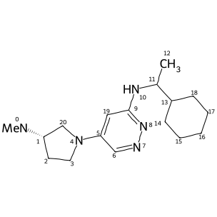 CN[C@H]1CCN(c2cnnc(NC(C)C3CCCCC3)c2)C1